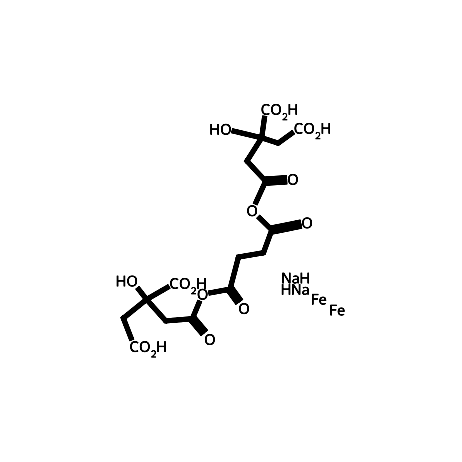 O=C(O)CC(O)(CC(=O)OC(=O)CCC(=O)OC(=O)CC(O)(CC(=O)O)C(=O)O)C(=O)O.[Fe].[Fe].[NaH].[NaH]